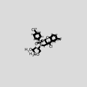 CC(C)C[C@H](CO)N(CC1=C(Cl)c2cc(F)ccc2OC1)S(=O)(=O)c1ccc(Cl)cc1